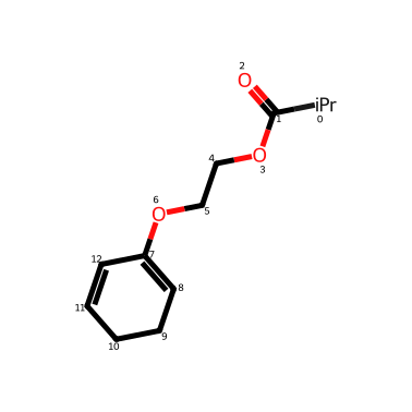 CC(C)C(=O)OCCOC1=CCCC=C1